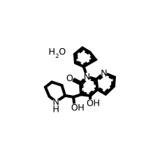 O.O=c1c(C(O)C2CCCCN2)c(O)c2cccnc2n1-c1ccccc1